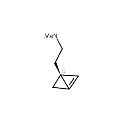 CNCC[C@@]12C=C1C2